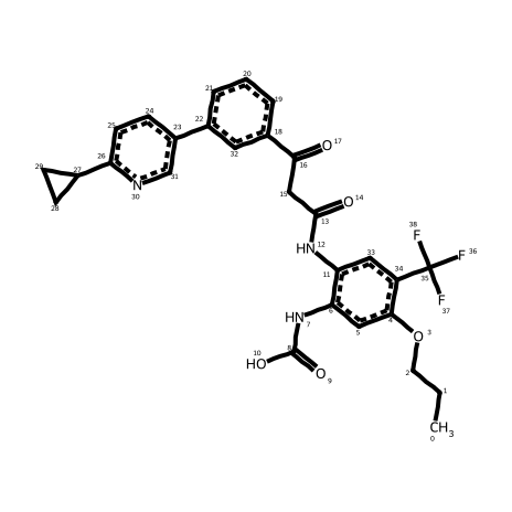 CCCOc1cc(NC(=O)O)c(NC(=O)CC(=O)c2cccc(-c3ccc(C4CC4)nc3)c2)cc1C(F)(F)F